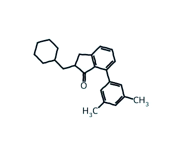 Cc1cc(C)cc(-c2cccc3c2C(=O)C(CC2CCCCC2)C3)c1